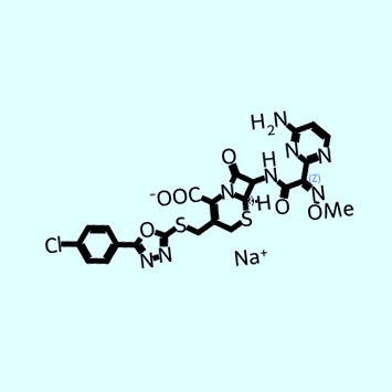 CO/N=C(\C(=O)NC1C(=O)N2C(C(=O)[O-])=C(CSc3nnc(-c4ccc(Cl)cc4)o3)CS[C@H]12)c1nccc(N)n1.[Na+]